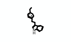 CCC1CC2C=CC1CN2CCc1c[nH]c2ccccc12